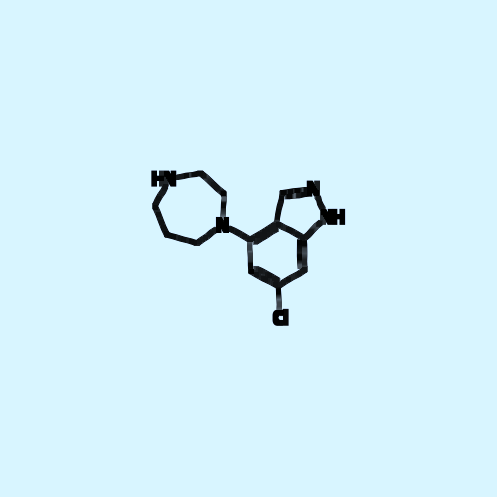 Clc1cc(N2CCCNCC2)c2cn[nH]c2c1